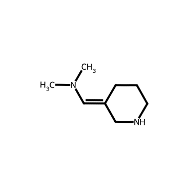 CN(C)/C=C1\CCCNC1